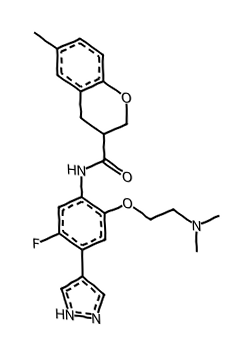 Cc1ccc2c(c1)CC(C(=O)Nc1cc(F)c(-c3cn[nH]c3)cc1OCCN(C)C)CO2